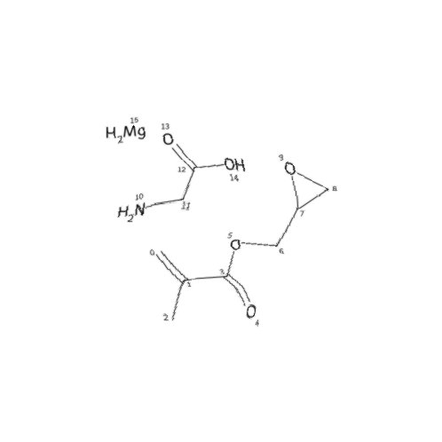 C=C(C)C(=O)OCC1CO1.NCC(=O)O.[MgH2]